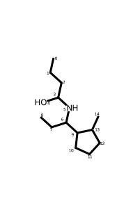 CCCC(O)NC(CC)C1CCCC1C